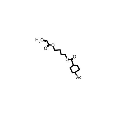 C=CC(=O)OCCCCOC(=O)C1CCC(C(C)=O)CC1